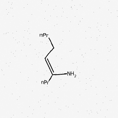 CCCCC=C(N)CCC